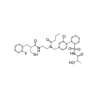 CCCC(=O)N(CCNC(=O)C(CS)Cc1ccccc1F)Cc1ccc(-c2ccccc2S(=O)(=O)NC(=O)C(C)O)c(Cl)c1